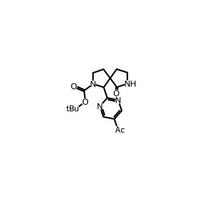 CC(=O)c1cnc(C2N(C(=O)OC(C)(C)C)CCC23CCNC3=O)nc1